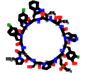 C[C@@H](O)[C@@H]1NC(=O)[C@H]([C@@H](C)O)NC(=O)[C@H](Cc2cnc[nH]2)N(C)C(=O)[C@H](Cc2ccc(O)c(F)c2)NC(=O)[C@H](CCS(C)(=O)=O)NC(=O)[C@@H]2CCCN2C(=O)[C@H](CO)NC(=O)C[C@@H](C(=O)N2CCC[C@H]2C(=O)O)NC(=O)[C@H](Cc2ccc(Cl)cc2)N(C)C(=O)[C@H](Cc2ccc(Cl)cc2)N(C)C(=O)[C@H](Cc2c[nH]c3ccccc23)NC1=O